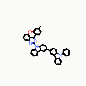 Cc1ccc2c(c1)Oc1cccc3nc(N4c5ccccc5C5C=C(c6ccc7c(c6)c6ccccc6n7-c6ccccc6)C=CC54)nc-2c13